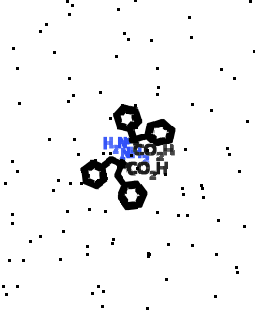 NC(C(=O)O)(c1ccccc1)c1ccccc1.NC(Cc1ccccc1)(Cc1ccccc1)C(=O)O